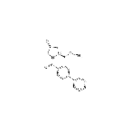 COC[C@@H]1CC(=O)CN1C(=O)c1ccc(-c2ccccc2)cc1